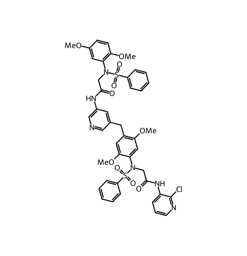 COc1ccc(OC)c(N(CC(=O)Nc2cncc(Cc3cc(OC)c(N(CC(=O)Nc4cccnc4Cl)S(=O)(=O)c4ccccc4)cc3OC)c2)S(=O)(=O)c2ccccc2)c1